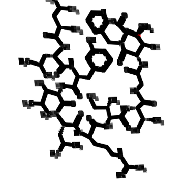 CC[C@H](C)[C@H](NC(=O)[C@@H](CCCNC(=N)N)NC(=O)[C@H](CC(C)C)NC(=O)[C@@H](NC(=O)[C@H](Cc1cccc(O)c1)NC(=O)[C@H](CC(C)C)NC(=O)[C@H](N)CC(C)C)C(O)C(C)C)C(=O)N[C@H](C(=O)NCC(=O)N[C@H](C(=O)N(Cc1cccnc1)[C@@H](CO)C(=O)O)C(O)C(N)=O)[C@H](C)O